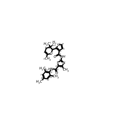 CC1=CCC(C)(C)C(c2sccc2C(=O)Nc2nc(C)c(C(=O)Nc3c(C)cc(C)cc3C)s2)O1